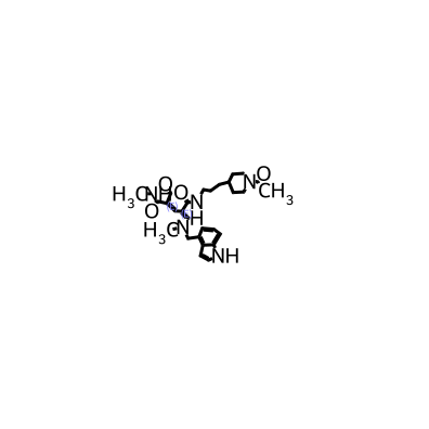 CNC(=O)/C(C=O)=C/C(=C\N(C)Cc1cccc2[nH]ccc12)C(=O)NCCCC1CCN(C(C)=O)CC1